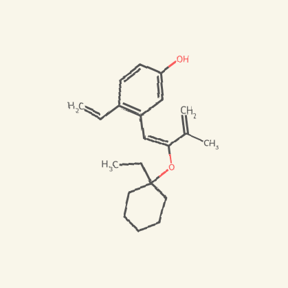 C=Cc1ccc(O)cc1/C=C(/OC1(CC)CCCCC1)C(=C)C